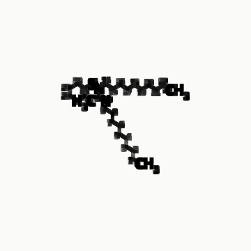 CCCCCCCCCC/N=C(\C)N(CCCCCCCCCC)SC1CCCCC1